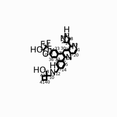 O=C(O)C(F)(F)F.OCC1(CNCc2ccc(-c3nc4ccnc(-c5cn[nH]c5)c4cc3-c3ccccc3)cc2)CCC1